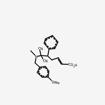 COc1ccc(CN(C)C(C#N)(C#N)C(C/C=C/C(=O)O)c2ccccc2)cc1